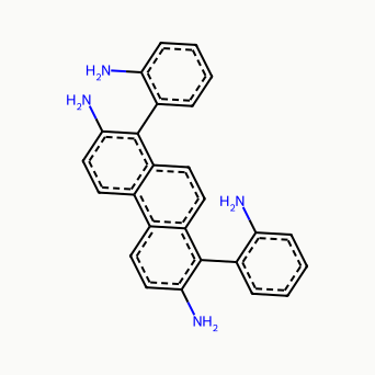 Nc1ccccc1-c1c(N)ccc2c1ccc1c(-c3ccccc3N)c(N)ccc12